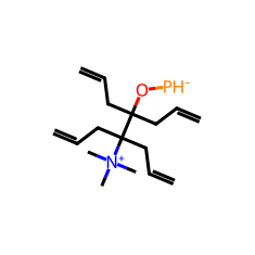 C=CCC(CC=C)(O[PH-])C(CC=C)(CC=C)[N+](C)(C)C